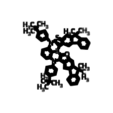 CC(C)(C)c1ccc(N2c3cccc4c3B(c3oc5cc6c(cc5c3N4c3ccc(C(C)(C)C)cc3)-c3ccccc3C6(C)C)c3c2sc2cc4c(cc32)-c2ccccc2C4(C)C)cc1